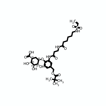 C=CS(=O)(=O)NCCCCCC(=O)NCCC(=O)Nc1cc(COC(=O)C(C)(C)C)ccc1O[C@@H]1C[C@H](C(=O)O)[C@@H](O)[C@H](O)[C@H]1O